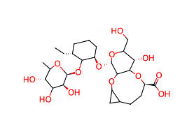 CC[C@@H]1CCC[C@@H](O[C@@H]2OC(CO)[C@H](O)C3O[C@@H](C(=O)O)CCC4CC4OC32)C1O[C@@H]1OC(C)[C@@H](O)C(O)[C@@H]1O